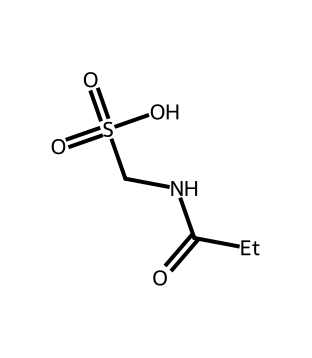 CCC(=O)NCS(=O)(=O)O